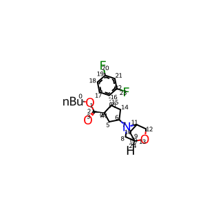 CCCCOC(=O)[C@@H]1CC(N2C[C@@H]3CC2CO3)C[C@H]1c1ccc(F)cc1F